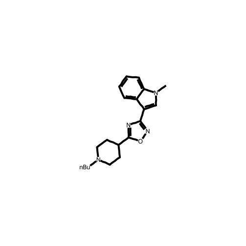 CCCCN1CCC(c2nc(-c3cn(C)c4ccccc34)no2)CC1